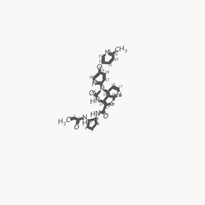 C=CC(=O)N[C@H]1CCC[C@H]1NC(=O)c1sc2nccc3c2c1NC(=O)N3c1ccc(Oc2ccc(C)nc2)cn1